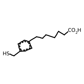 O=C(O)CCCCCCc1ccc(CS)cc1